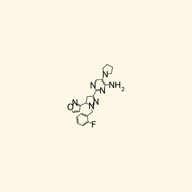 Nc1nc(C2=NN(Cc3ccccc3F)C(c3ccon3)C2)ncc1N1CCCC1